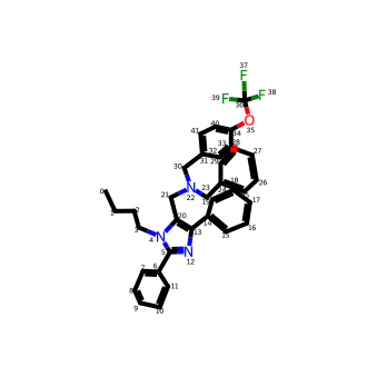 CCCCn1c(-c2ccccc2)nc(-c2ccccc2)c1CN(Cc1ccccc1)Cc1ccc(OC(F)(F)F)cc1